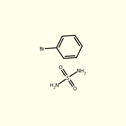 Brc1ccccc1.NS(N)(=O)=O